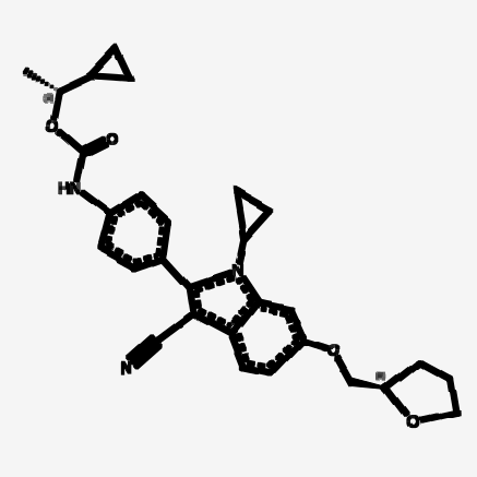 C[C@@H](OC(=O)Nc1ccc(-c2c(C#N)c3ccc(OC[C@H]4CCCO4)cc3n2C2CC2)cc1)C1CC1